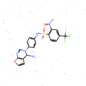 NC1c2ccoc2N=CN1c1ccc(NS(=O)(=O)c2ccc(C(F)(F)F)cc2[N+](=O)[O-])cc1